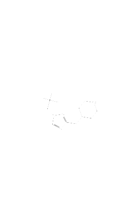 FC(F)(F)Cn1cnc(CC2CCNCC2)n1